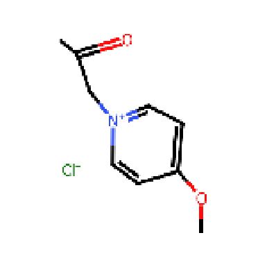 COc1cc[n+](CC(C)=O)cc1.[Cl-]